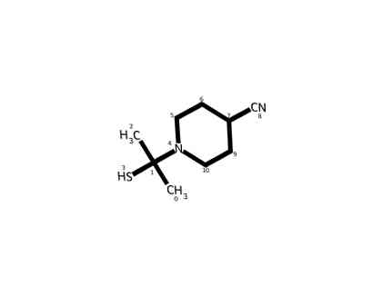 CC(C)(S)N1CCC(C#N)CC1